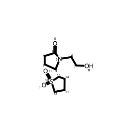 O=C1CCCN1CCO.O=S1(=O)CCCC1